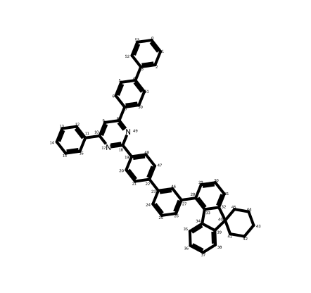 c1ccc(-c2ccc(-c3cc(-c4ccccc4)nc(-c4ccc(-c5cccc(-c6cccc7c6-c6ccccc6C76CCCCC6)c5)cc4)n3)cc2)cc1